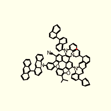 CC(C)c1cccc2c1oc1c(N3c4cccc(-c5ccccc5)c4C=C4C=CC=CC43)cc3c(N4C=CC=C(C5C=CC=CC5)C4)c(N(c4ccccc4)c4cccc5c(-c6cccc7ccccc67)cccc45)c4cc(C#N)c5c6cc(N7c8ccccc8C=C8C(c9c%10ccccc%10cc%10ccccc9%10)=CC=CC87)ccc6oc5c4c3c12